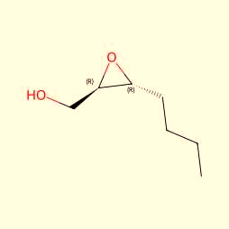 CCCC[C@H]1O[C@@H]1CO